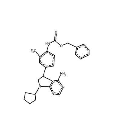 Nc1ncnc2c1C(c1ccc(NC(=O)OCc3ccccc3)c(C(F)(F)F)c1)CN2C1CCCC1